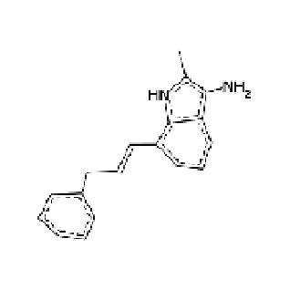 Cc1[nH]c2c(/C=C/Cc3ccccc3)cccc2c1N